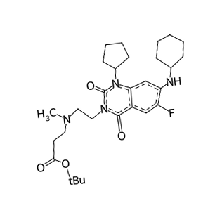 CN(CCC(=O)OC(C)(C)C)CCn1c(=O)c2cc(F)c(NC3CCCCC3)cc2n(C2CCCC2)c1=O